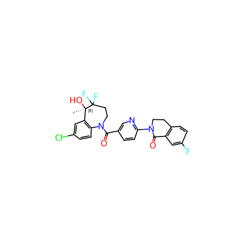 C[C@@]1(O)c2cc(Cl)ccc2N(C(=O)c2ccc(N3CCc4ccc(F)cc4C3=O)nc2)CCC1(F)F